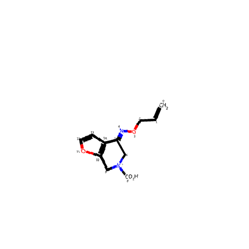 C=CCO/N=C1\CN(C(=O)O)Cc2occc21